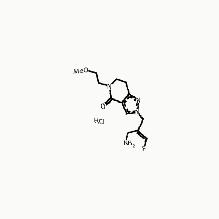 COCCN1CCc2nn(CC(=CF)CN)cc2C1=O.Cl